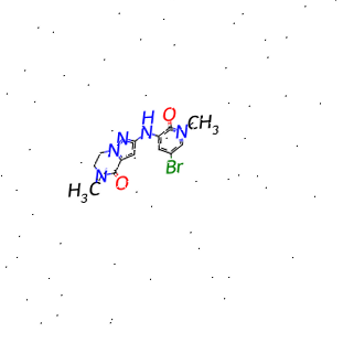 CN1CCn2nc(Nc3cc(Br)cn(C)c3=O)cc2C1=O